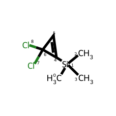 C[Si](C)(C)C1=CC1(Cl)Cl